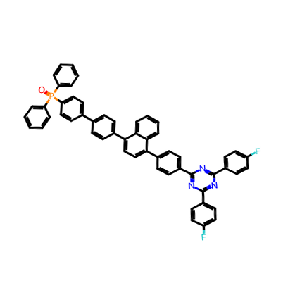 O=P(c1ccccc1)(c1ccccc1)c1ccc(-c2ccc(-c3ccc(-c4ccc(-c5nc(-c6ccc(F)cc6)nc(-c6ccc(F)cc6)n5)cc4)c4ccccc34)cc2)cc1